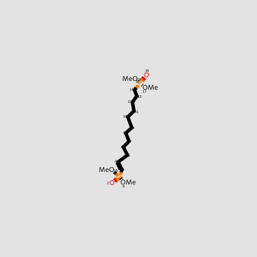 COP(=O)(C=CCCCCCCCCCCP(=O)(OC)OC)OC